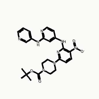 CC(C)(C)OC(=O)N1CCN(c2ccc([N+](=O)[O-])c(Nc3ccnc(Nc4cccnc4)c3)n2)CC1